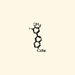 COc1ccc2cc(-c3cc(F)c(O)c(F)c3)ccc2c1